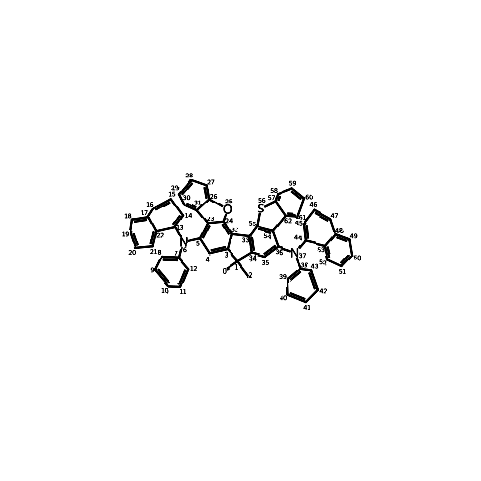 CC1(C)c2cc(N(c3ccccc3)c3cccc4ccccc34)c3c(oc4ccccc43)c2-c2c1cc(N(c1ccccc1)c1cccc3ccccc13)c1c2sc2ccccc21